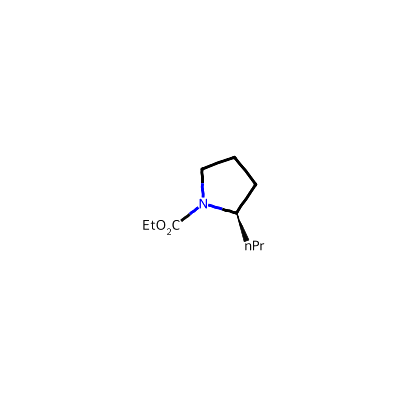 CCC[C@@H]1CCCN1C(=O)OCC